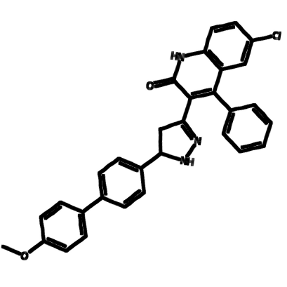 COc1ccc(-c2ccc(C3CC(c4c(-c5ccccc5)c5cc(Cl)ccc5[nH]c4=O)=NN3)cc2)cc1